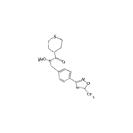 CON(Cc1ccc(-c2noc(C(F)(F)F)n2)cc1)C(=O)C1CCSCC1